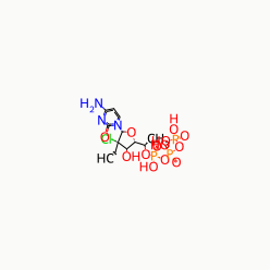 C#C[C@@]1(Cl)C(O)[C@@H]([C@@H](C)OP(=O)(O)OP(=O)(O)OP(=O)(O)O)O[C@H]1n1ccc(N)nc1=O